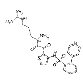 NC(N)NCCC[C@H](N)C(=O)C(=O)c1sccc1NS(=O)(=O)c1ccccc1-c1ccncc1